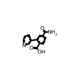 NC(=O)c1ccc(C(=O)O)c(-c2cccnc2)c1